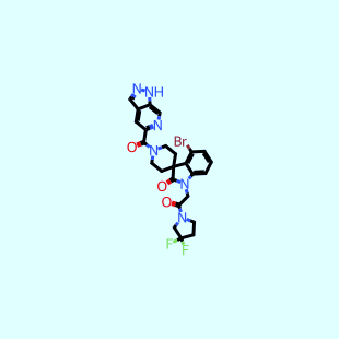 O=C(CN1C(=O)C2(CCN(C(=O)c3cc4cn[nH]c4cn3)CC2)c2c(Br)cccc21)N1CCC(F)(F)C1